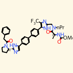 CCCN(Cc1nc(C(F)(F)F)c(-c2ccc(-c3ccc(-c4cnc([C@@H]5CCCN5C(=O)Cc5ccccc5)[nH]4)cc3)cc2)[nH]1)C(=O)[C@H](C)NC(=O)OC